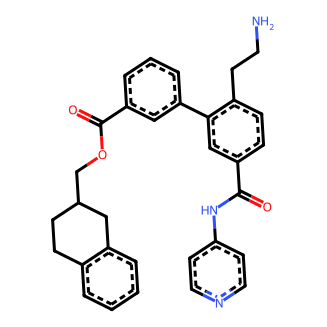 NCCc1ccc(C(=O)Nc2ccncc2)cc1-c1cccc(C(=O)OCC2CCc3ccccc3C2)c1